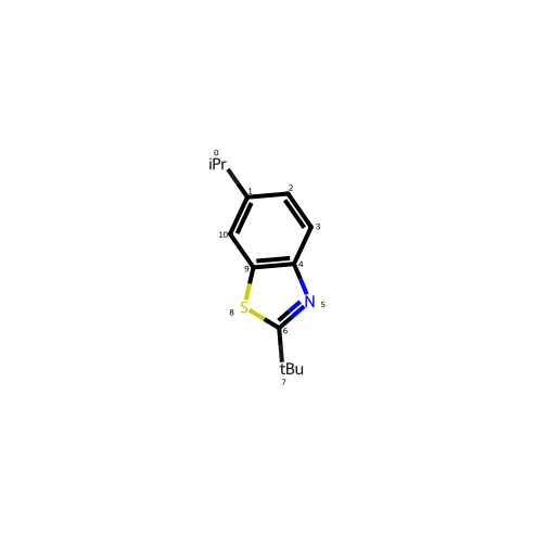 CC(C)c1ccc2nc(C(C)(C)C)sc2c1